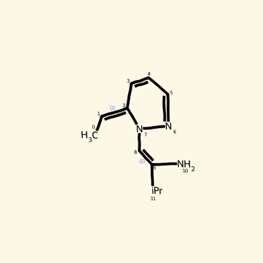 C/C=C1/C=CC=NN1/C=C(\N)C(C)C